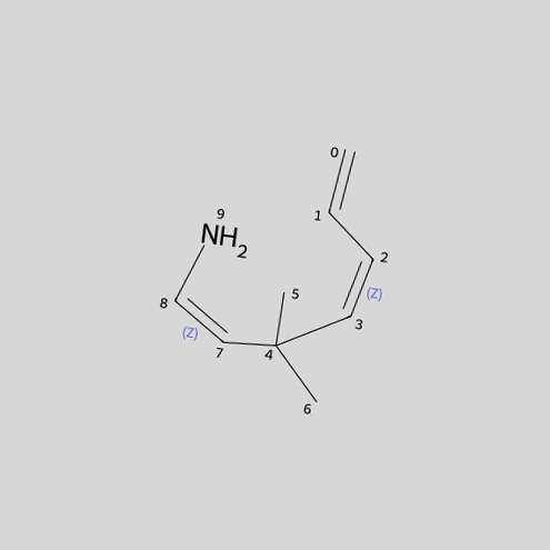 C=C/C=C\C(C)(C)/C=C\N